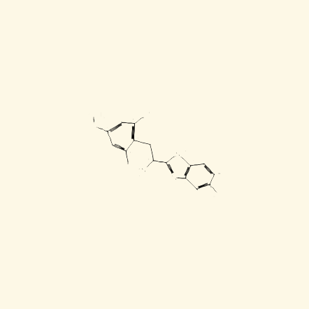 COc1cc(F)c(CC(N)c2nc3cc(F)ccc3[nH]2)c(F)c1